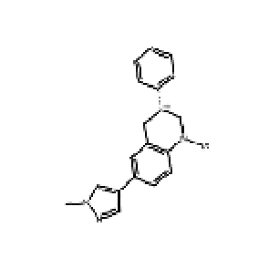 CCN1C[C@@H](c2ccccc2)Cc2cc(-c3cnn(C)c3)ccc21